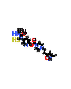 Cc1cc(CCN2CCN(C(=O)Oc3ccc(N(S)C(=O)NC(C)(C)C)cn3)CC2)on1